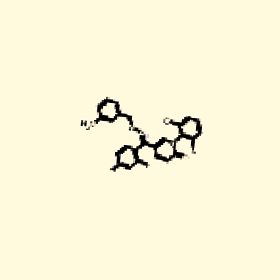 Nc1cccc(CO/N=C(/c2ccc(=O)n(-c3c(Cl)cccc3Cl)c2)c2ccc(F)cc2F)c1